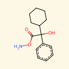 NOC(=O)C(O)(c1ccccc1)C1CCCCC1